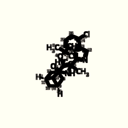 CC(C)(C)OC(=O)N1C[C@H]2C[C@@H](C1)C2C(=O)NC(C)(C)c1ncc2c(Cl)cccn12